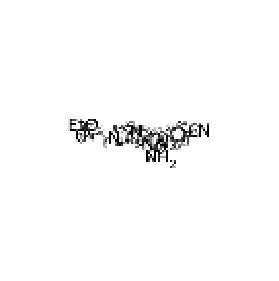 CCS(=O)(=O)CCCN1CC2CC(C1)CN(CC(COc1ccc(C#N)cc1)N(C)C(N)=O)C2